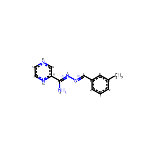 Cc1cccc(/C=N/N=C(\N)c2cnccn2)c1